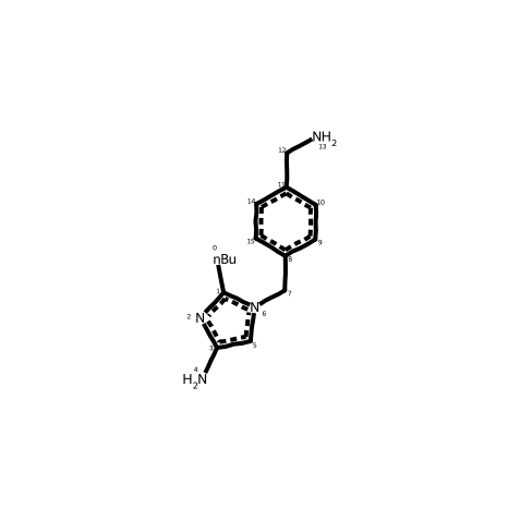 CCCCc1nc(N)cn1Cc1ccc(CN)cc1